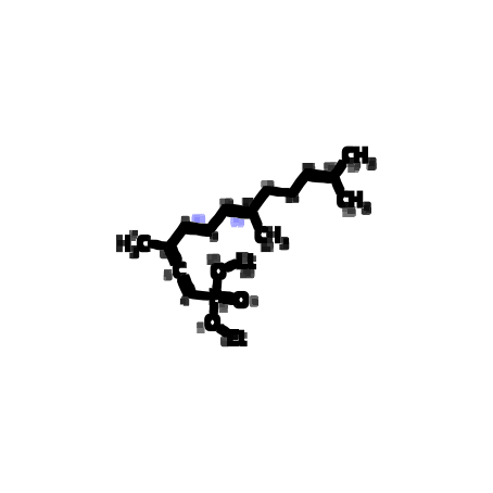 CCOP(=O)(C=C=C(C)/C=C/C=C(\C)CCC=C(C)C)OCC